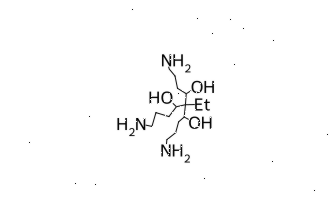 CCC(C(O)CCCN)(C(O)CCCN)C(O)CCCN